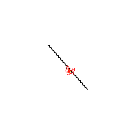 C=C.CCCCCCCCCCCCCCCCCCOCCCCCCCCCCCCCCCCCC.O=S(=O)(O)O